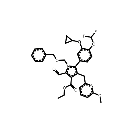 CCOC(=O)c1c(Cc2cccc(OC)n2)c(-c2ccc(OC(F)F)c(OC3CC3)c2)n(COCc2ccccc2)c1C=O